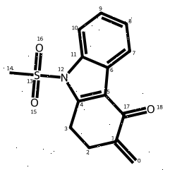 C=C1CCc2c(c3ccccc3n2S(C)(=O)=O)C1=O